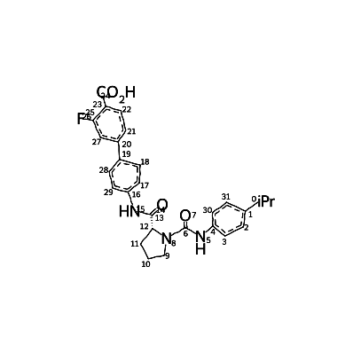 CC(C)c1ccc(NC(=O)N2CCC[C@@H]2C(=O)Nc2ccc(-c3ccc(C(=O)O)c(F)c3)cc2)cc1